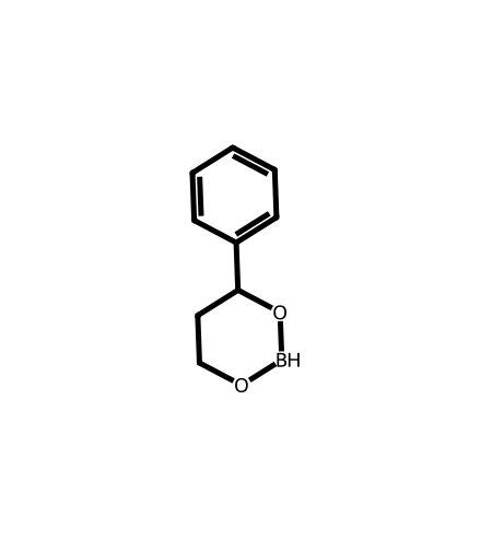 B1OCCC(c2ccccc2)O1